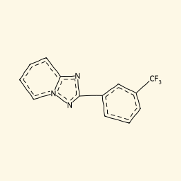 FC(F)(F)c1cccc(-c2nc3ccccn3n2)c1